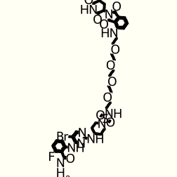 NC(=O)c1c(F)cccc1Nc1nc(NC2CCN(S(=O)(=O)NCCOCCOCCOCCOCCNc3cccc4c3C(=O)N(C3CCC(=O)NC3=O)C4=O)CC2)ncc1Br